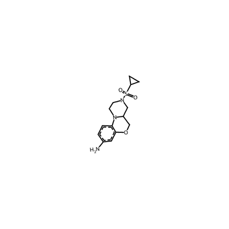 Nc1ccc2c(c1)OCC1CN(S(=O)(=O)C3CC3)CCN21